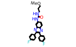 COCCCNC(=O)Nc1ccc2nc(-c3ccc(F)cc3)c(-c3ccc(F)cc3)nc2c1